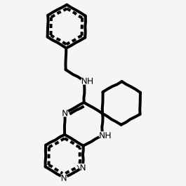 c1ccc(CNC2=Nc3ccnnc3NC23CCCCC3)cc1